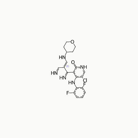 N=C/C(=C\NC1CCOCC1)C(=N)c1c(Nc2c(F)cccc2F)c(Cl)c[nH]c1=O